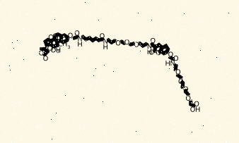 C[C@]12CC[C@H](OCC(=O)NCCCCCCC(=O)NCCCOCCOCCOCCCNC(=O)c3cc4ccc(OCC(=O)NCCOCCOCCOCCOCCC(=O)O)cc4oc3=O)CC1CCC1C2C[C@@H](O)[C@]2(C)[C@@H](C3=CC(=O)OC3)CC[C@]12O